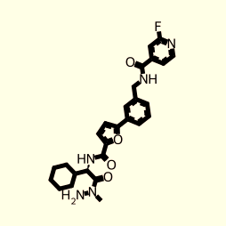 CN(N)C(=O)[C@@H](NC(=O)c1ccc(-c2cccc(CNC(=O)c3ccnc(F)c3)c2)o1)C1CCCCC1